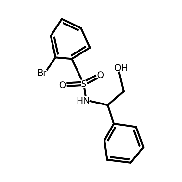 O=S(=O)(NC(CO)c1ccccc1)c1ccccc1Br